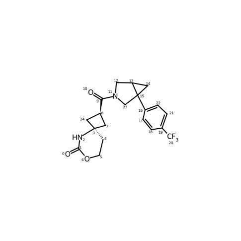 O=C1N[C@]2(CCO1)C[C@H](C(=O)N1CC3CC3(c3ccc(C(F)(F)F)cc3)C1)C2